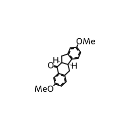 COc1ccc2c(c1)C[C@@H]1C(=O)c3cc(OC)ccc3C[C@H]21